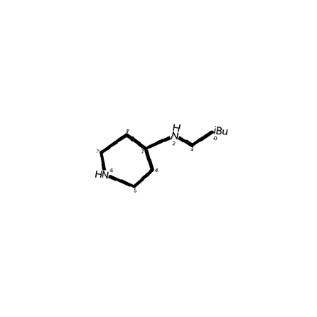 CCC(C)CNC1CCNCC1